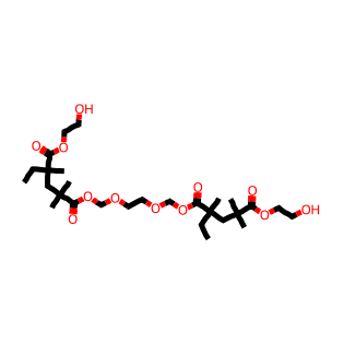 CCC(C)(CC(C)(C)C(=O)OCOCCOCOC(=O)C(C)(CC)CC(C)(C)C(=O)OCCO)C(=O)OCCO